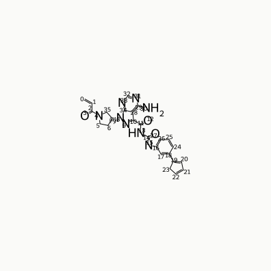 C=CC(=O)N1CC[C@@H](n2nc(C(=O)Nc3nc4cc(C5=CC=CC5)ccc4o3)c3c(N)ncnc32)C1